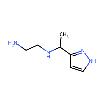 CC(NCCN)c1cc[nH]n1